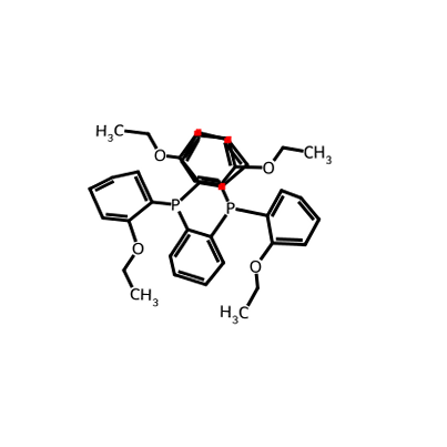 CCOc1ccccc1P(c1ccccc1OCC)c1ccccc1P(c1ccccc1OCC)c1ccccc1OCC